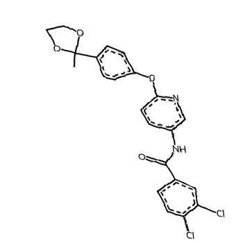 CC1(c2ccc(Oc3ccc(NC(=O)c4ccc(Cl)c(Cl)c4)cn3)cc2)OCCO1